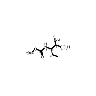 CC(C)(C)OC(=O)N[C@H](CI)C(C(=O)O)C(C)(C)C